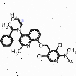 C=C(c1ccccc1)N(/C=C\C)c1cc(C)nc2c(OCc3c(Cl)cnc(N(C)C(C)=O)c3Cl)cccc12